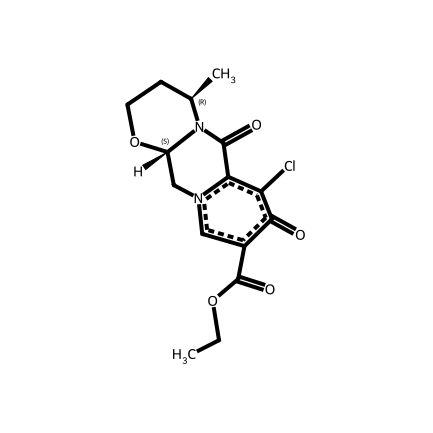 CCOC(=O)c1cn2c(c(Cl)c1=O)C(=O)N1[C@H](C)CCO[C@H]1C2